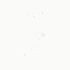 Cc1ccc(-c2cncc(O[C@H]3SC[C@@H](O)[C@H](O)[C@H]3O)c2)cc1C